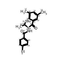 CCc1ccc(C(=O)NN(C(=O)c2cc(C)cc(C)c2)C(C)C(C)(C)C)cc1